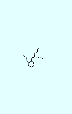 CCCCC(=[C]c1ccccc1CCCC)CCCC